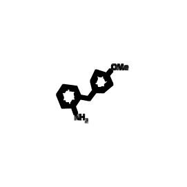 COc1ccc(Cc2ccccc2N)cc1